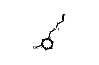 C=CCNCc1cccc(Cl)c1